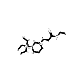 CCOC(=O)CCN1CCCN([Si](CC)(CC)CC)C1